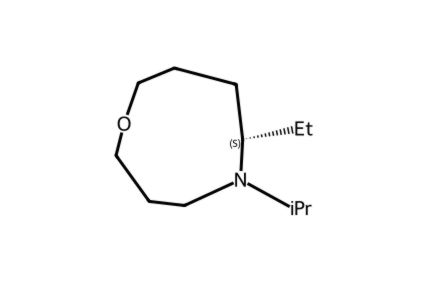 CC[C@H]1CCCOCCCN1C(C)C